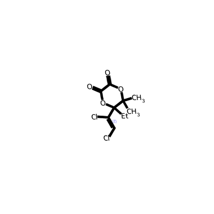 CCC1(/C(Cl)=C/Cl)OC(=O)C(=O)OC1(C)C